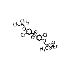 CCS(=O)(=O)C[C@H](C)COc1ccc(S(=O)(=O)c2ccc(OC[C@H](C)CCl)c(Cl)c2)cc1Cl